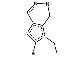 CCn1c(Br)nc2c1CNN=C2